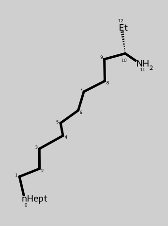 CCCCCCCCCCCCCCCC[C@@H](N)CC